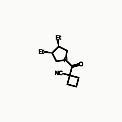 CC[C@@H]1CN(C(=O)C2(C#N)CCC2)C[C@@H]1CC